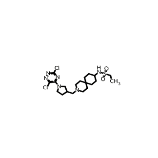 CCS(=O)(=O)NC1CCC2(CC1)CCN(CC1CCN(c3nc(Cl)nnc3Cl)C1)CC2